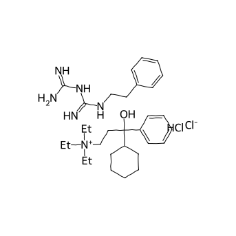 CC[N+](CC)(CC)CCC(O)(c1ccccc1)C1CCCCC1.Cl.N=C(N)NC(=N)NCCc1ccccc1.[Cl-]